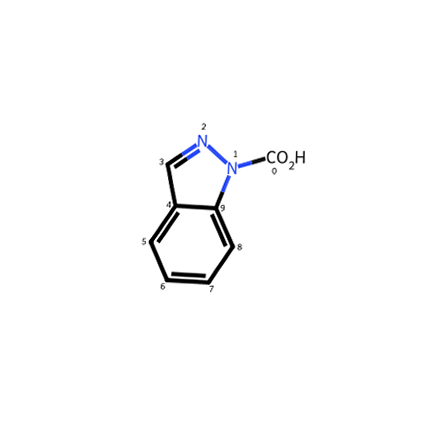 O=C(O)n1ncc2ccccc21